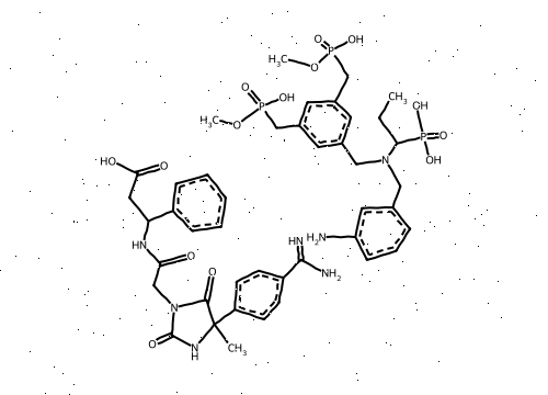 CC1(c2ccc(C(=N)N)cc2)NC(=O)N(CC(=O)NC(CC(=O)O)c2ccccc2)C1=O.CCC(N(Cc1cccc(N)c1)Cc1cc(CP(=O)(O)OC)cc(CP(=O)(O)OC)c1)P(=O)(O)O